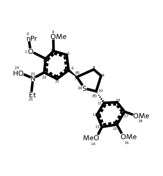 CCCOc1c(OC)cc([C@H]2CC[C@H](c3cc(OC)c(OC)c(OC)c3)S2)cc1N(O)CC